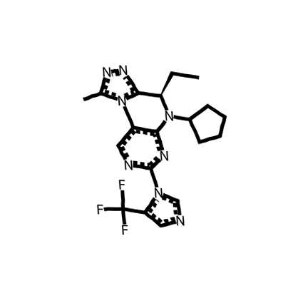 CC[C@@H]1c2nnc(C)n2-c2cnc(-n3cncc3C(F)(F)F)nc2N1C1CCCC1